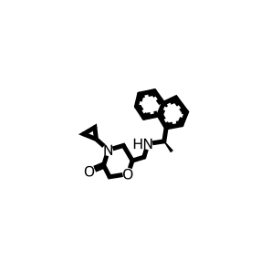 C[C@@H](NCC1CN(C2CC2)C(=O)CO1)c1cccc2ccccc12